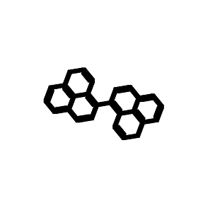 C1=Cc2c(-c3ccc4cccc5c4c3C=CC5)ccc3cccc(c23)C1